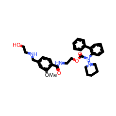 COc1cc(CNCCO)ccc1C(=O)NCCOC(=O)N(c1ccccc1-c1ccccc1)N1CC[CH]CC1